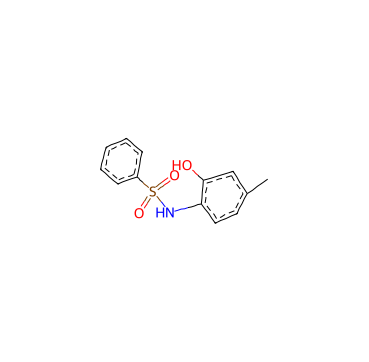 Cc1ccc(NS(=O)(=O)c2ccccc2)c(O)c1